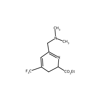 CCOC(=O)C1CC(C(F)(F)F)=CC(CN(C)C)=N1